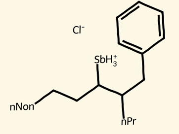 CCCCCCCCCCC[CH]([SbH3+])C(CCC)Cc1ccccc1.[Cl-]